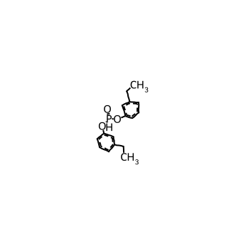 CCc1cccc(O[PH](=O)Oc2cccc(CC)c2)c1